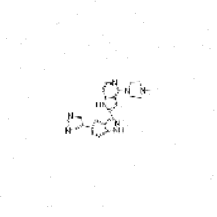 CN1CCN(c2nccc3[nH]c(-c4n[nH]c5ccc(-c6cncnc6)cc45)cc23)CC1